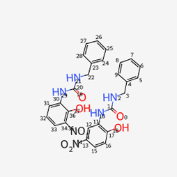 O=C(NCc1ccccc1)Nc1cc([N+](=O)[O-])ccc1O.O=C(NCc1ccccc1)Nc1cccc([N+](=O)[O-])c1O